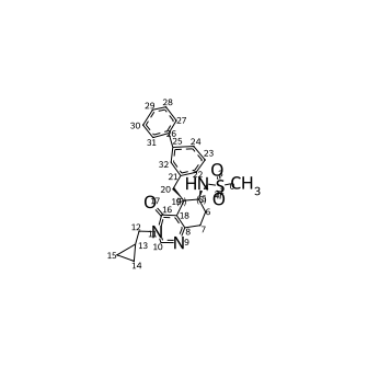 CS(=O)(=O)N[C@H]1CCc2ncn(CC3CC3)c(=O)c2[C@H]1Cc1cccc(-c2ccccc2)c1